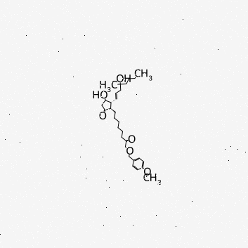 CCCCC(C)(O)CC=C[C@H]1[C@H](O)CC(=O)[C@@H]1CCCCCCC(=O)COCc1ccc(OC)cc1